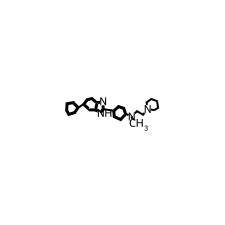 CN(CCN1CCCCC1)c1ccc(-c2nc3ccc(-c4ccccc4)cc3[nH]2)cc1